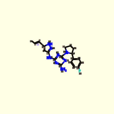 C/C=C/c1cc(Nc2nc(N)nc(N3CCCC3c3ccc(F)cc3)n2)n[nH]1